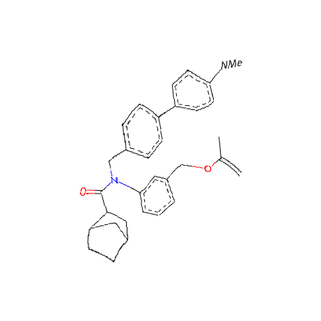 C=C(C)OCc1cccc(N(Cc2ccc(-c3ccc(NC)cc3)cc2)C(=O)C2CC3CCC2C3)c1